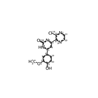 COc1cc(-c2cc(-c3nccnc3Cl)nc(=O)[nH]2)ccc1O